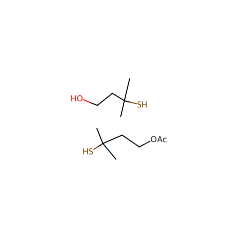 CC(=O)OCCC(C)(C)S.CC(C)(S)CCO